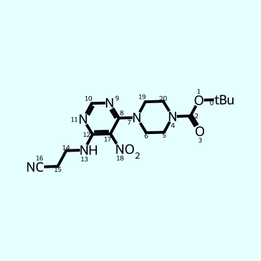 CC(C)(C)OC(=O)N1CCN(c2ncnc(NCCC#N)c2[N+](=O)[O-])CC1